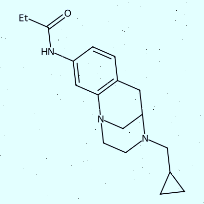 CCC(=O)Nc1ccc2c(c1)N1CCN(CC3CC3)C(C2)C1